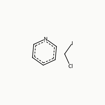 ClCI.c1ccncc1